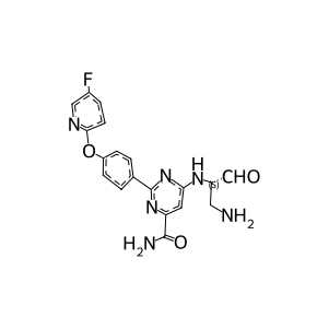 NC[C@@H](C=O)Nc1cc(C(N)=O)nc(-c2ccc(Oc3ccc(F)cn3)cc2)n1